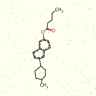 CCCCC(=O)Oc1ccc2cc(C3CCC(C)CC3)ccc2c1